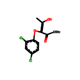 COC(=O)/C(Oc1ccc(Cl)cc1Cl)=C(/C)O